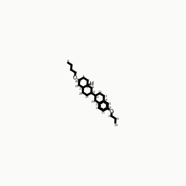 CCCCO[C@@H]1CC[C@@H]2CC(C3CCc4cc(OCCC)ccc4C3)CCC2C1